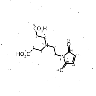 O=C(O)CCN(CCC(=O)O)CCN1C(=O)C=CC1=O